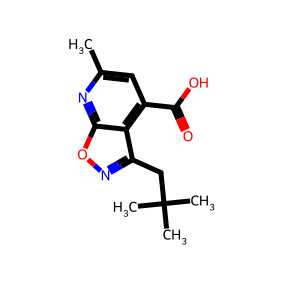 Cc1cc(C(=O)O)c2c(CC(C)(C)C)noc2n1